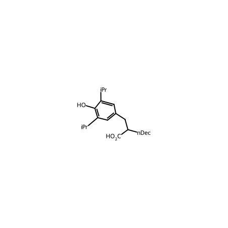 CCCCCCCCCCC(Cc1cc(C(C)C)c(O)c(C(C)C)c1)C(=O)O